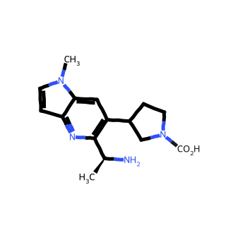 C[C@H](N)c1nc2ccn(C)c2cc1C1CCN(C(=O)O)C1